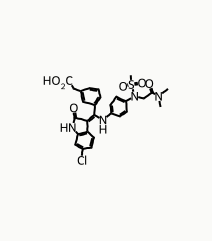 CN(C)C(=O)CN(c1ccc(NC(=C2C(=O)Nc3cc(Cl)ccc32)c2cccc(CC(=O)O)c2)cc1)S(C)(=O)=O